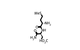 CSCC[C@H](N)C(=O)N[C@@H](CC(=O)O)C(N)=O